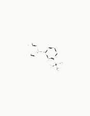 O=CC(C=O)c1cccc(C(F)(F)F)c1